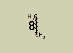 CCCCCCCCCC.c1ccc2ccccc2c1